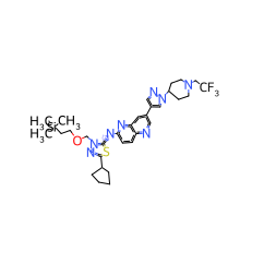 C[Si](C)(C)CCOCn1nc(C2CCCC2)s/c1=N\c1ccc2ncc(-c3cnn(C4CCN(CC(F)(F)F)CC4)c3)cc2n1